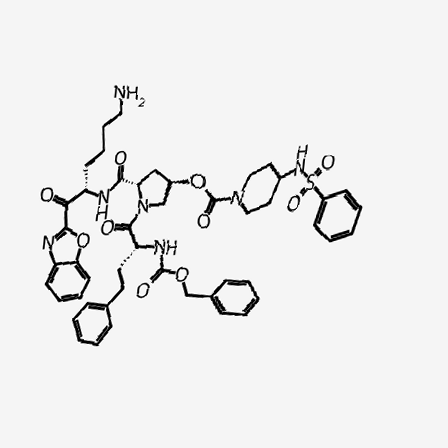 NCCCC[C@H](NC(=O)[C@@H]1C[C@@H](OC(=O)N2CCC(NS(=O)(=O)c3ccccc3)CC2)CN1C(=O)[C@@H](CCc1ccccc1)NC(=O)OCc1ccccc1)C(=O)c1nc2ccccc2o1